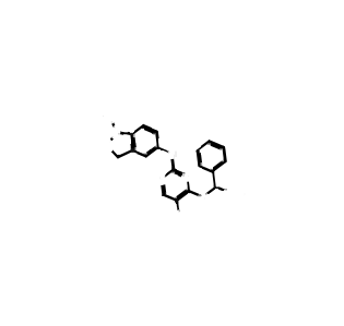 Cc1cnc(Nc2ccc3c(c2)COB3O)nc1NC(C)c1ccccc1